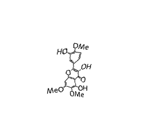 COc1ccc(-c2oc3cc(OC)c(OC)c(O)c3c(=O)c2O)cc1O